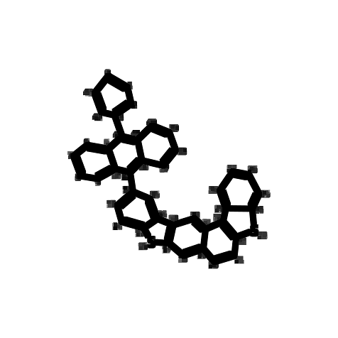 c1ccc(-c2c3ccccc3c(-c3ccc4sc5cc6ccc7sc8ccccc8c7c6cc5c4c3)c3ccccc23)cc1